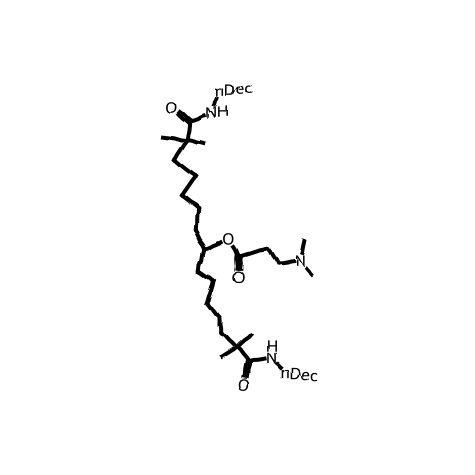 CCCCCCCCCCNC(=O)C(C)(C)CCCCCC(CCCCCC(C)(C)C(=O)NCCCCCCCCCC)OC(=O)CCN(C)C